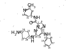 Cc1cc(NC(=O)C2CN=C3C(Nc4ccccc4)=CC(NC4CCC(N)CC4)=NN32)ccn1